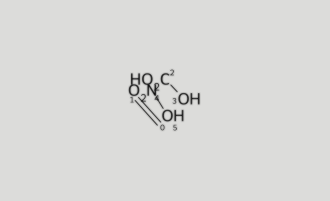 C=C.O=C(O)O.O=[N+]([O-])O